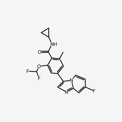 Cc1cc(-c2cnc3cc(F)ccn23)cc(OC(F)F)c1C(=O)NC1CC1